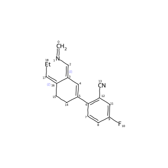 C=N/C=C1/C=C(c2ccc(F)cc2C#N)CC/C1=C/CC